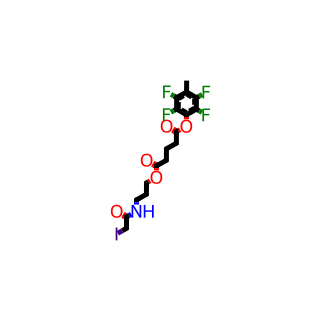 Cc1c(F)c(F)c(OC(=O)CCCC(=O)OCCCNC(=O)CI)c(F)c1F